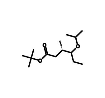 CCC(OC(C)C)[C@@H](C)CC(=O)OC(C)(C)C